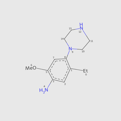 CCc1cc(N)c(OC)cc1N1CCNCC1